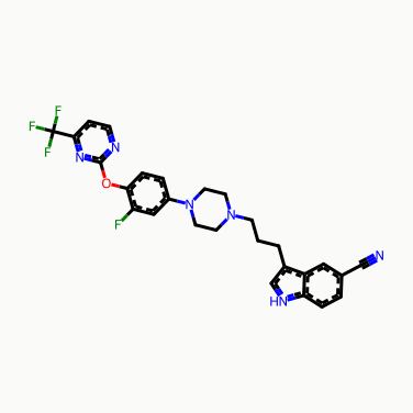 N#Cc1ccc2[nH]cc(CCCN3CCN(c4ccc(Oc5nccc(C(F)(F)F)n5)c(F)c4)CC3)c2c1